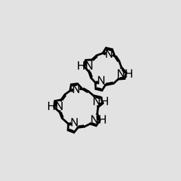 C1=Cc2cc3ccc([nH]3)c3ccc(cc4nc(cc5ccc(cc1n2)[nH]5)C=C4)[nH]3.C1=Cc2cc3ccc(cc4nc(cc5ccc(cc1n2)[nH]5)C=C4)[nH]3